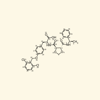 C[C@@H](NC(=O)[C@@H]1OCO[C@H]1C(=O)N[C@@H](Cc1ccc(OCc2c(Cl)cccc2Cl)cc1)C(=O)O)c1ccccc1